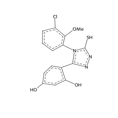 COc1c(Cl)cccc1-n1c(S)nnc1-c1ccc(O)cc1O